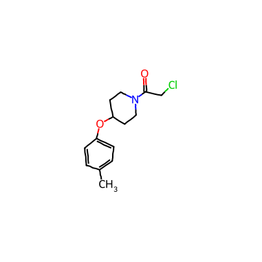 Cc1ccc(OC2CCN(C(=O)CCl)CC2)cc1